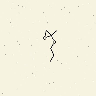 CCCOC1(C)CO1